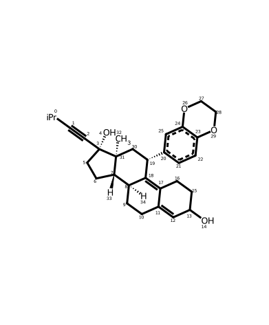 CC(C)C#C[C@]1(O)CC[C@H]2[C@@H]3CCC4=CC(O)CCC4=C3[C@@H](c3ccc4c(c3)OCCO4)C[C@@]21C